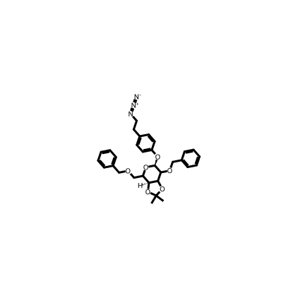 CC1(C)OC2C(OCc3ccccc3)[C@H](Oc3ccc(CCN=[N+]=[N-])cc3)OC(COCc3ccccc3)[C@@H]2O1